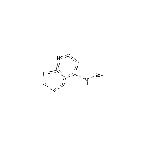 [SeH]Nc1ccnc2ccccc12